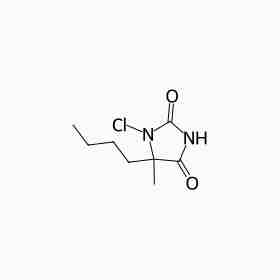 CCCCC1(C)C(=O)NC(=O)N1Cl